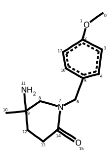 COc1ccc(CN2CC(C)(N)CCC2=O)cc1